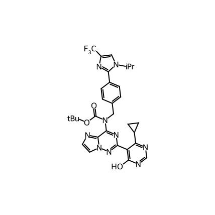 CC(C)n1cc(C(F)(F)F)nc1-c1ccc(CN(C(=O)OC(C)(C)C)c2nc(-c3c(O)ncnc3C3CC3)nn3ccnc23)cc1